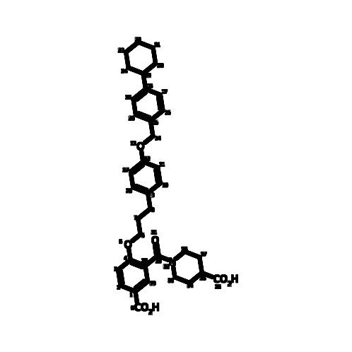 O=C(O)c1ccc(OCCCc2ccc(OCc3ccc(C4CCCCC4)cc3)cc2)c(C(=O)N2CCC(C(=O)O)CC2)c1